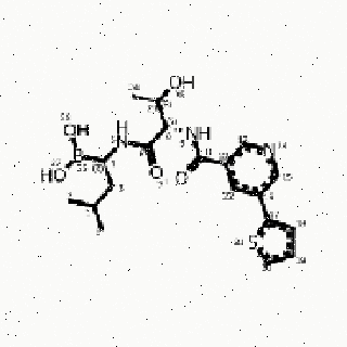 CC(C)C[C@H](NC(=O)[C@@H](NC(=O)c1cncc(-c2cccs2)c1)[C@@H](C)O)B(O)O